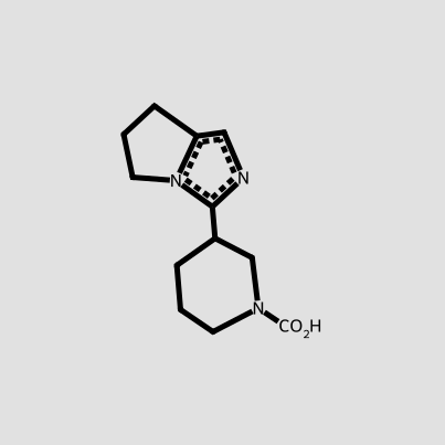 O=C(O)N1CCCC(c2ncc3n2CCC3)C1